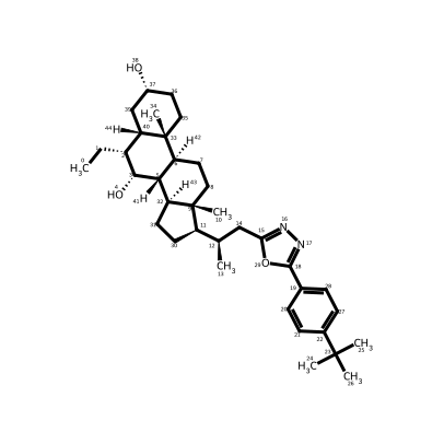 CC[C@H]1[C@@H](O)[C@@H]2[C@H](CC[C@]3(C)[C@@H]([C@H](C)Cc4nnc(-c5ccc(C(C)(C)C)cc5)o4)CC[C@@H]23)[C@@]2(C)CC[C@@H](O)C[C@@H]12